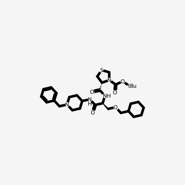 CC(C)(C)OC(=O)N1CSC[C@H]1C(=O)N[C@@H](COCC1CCCCC1)C(=O)NC1CCN(Cc2ccccc2)CC1